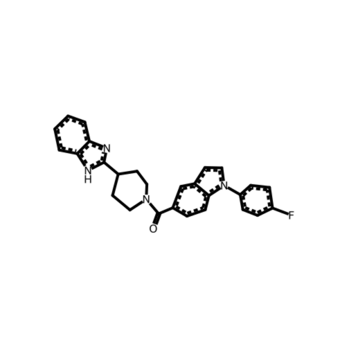 O=C(c1ccc2c(ccn2-c2ccc(F)cc2)c1)N1CCC(c2nc3ccccc3[nH]2)CC1